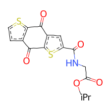 CC(C)OC(=O)CNC(=O)c1cc2c(s1)C(=O)c1ccsc1C2=O